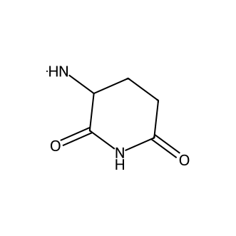 [NH]C1CCC(=O)NC1=O